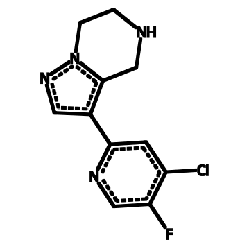 Fc1cnc(-c2cnn3c2CNCC3)cc1Cl